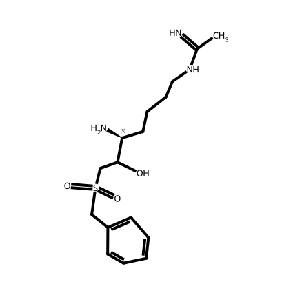 CC(=N)NCCCC[C@H](N)C(O)CS(=O)(=O)Cc1ccccc1